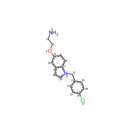 NCCOc1ccc2c(ccn2Cc2ccc(Cl)cc2)c1